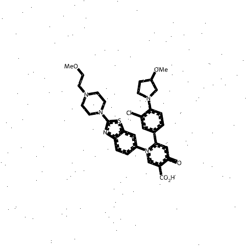 COCCN1CCN(c2nc3ccc(-n4cc(C(=O)O)c(=O)cc4-c4ccc(N5CCC(OC)C5)c(Cl)c4)cc3s2)CC1